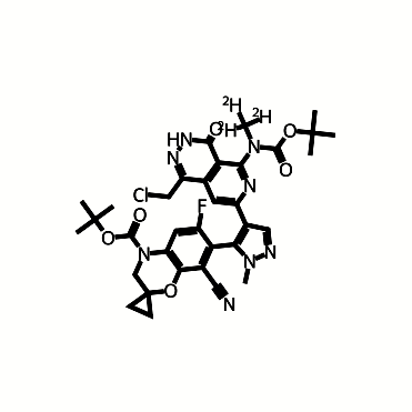 [2H]C([2H])([2H])N(C(=O)OC(C)(C)C)c1nc(-c2cnn(C)c2-c2c(F)cc3c(c2C#N)OC2(CC2)CN3C(=O)OC(C)(C)C)cc2c(CCl)n[nH]c(=O)c12